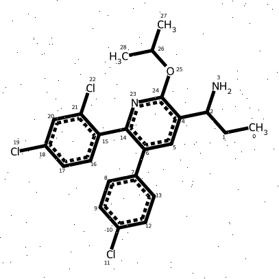 CCC(N)c1cc(-c2ccc(Cl)cc2)c(-c2ccc(Cl)cc2Cl)nc1OC(C)C